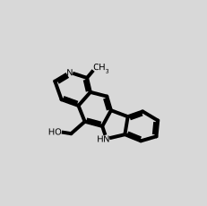 Cc1nccc2c(CO)c3[nH]c4ccccc4c3cc12